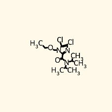 CCOCn1c(C(=O)N(C(C)C)C(C)C)nc(Cl)c1Cl